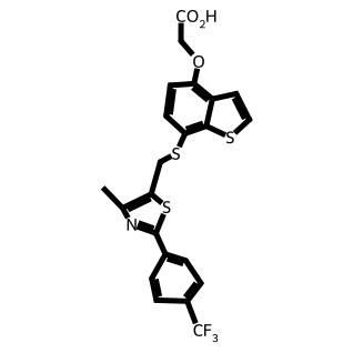 Cc1nc(-c2ccc(C(F)(F)F)cc2)sc1CSc1ccc(OCC(=O)O)c2ccsc12